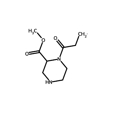 [CH2]CC(=O)N1CCNCC1C(=O)OC